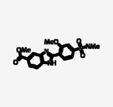 CNS(=O)(=O)c1ccc(-c2nc3cc(C(=O)OC)ccc3[nH]2)c(OC)c1